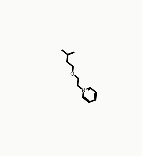 CC(C)CCOCC[n+]1ccccc1